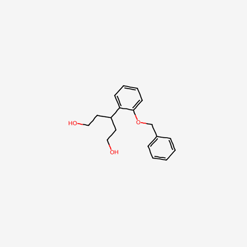 OCCC(CCO)c1ccccc1OCc1ccccc1